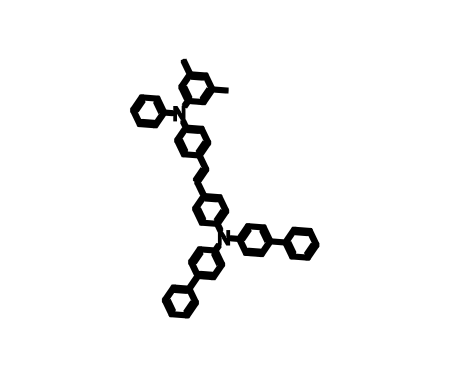 Cc1cc(C)cc(N(c2ccccc2)c2ccc(/C=C/c3ccc(N(c4ccc(-c5ccccc5)cc4)c4ccc(-c5ccccc5)cc4)cc3)cc2)c1